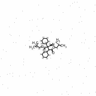 CC(C)COC(=O)C(C1CCCCC1)C(C#N)(C(=O)OCC(C)C)C1CCCCC1